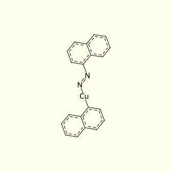 c1ccc2c(N=[N][Cu][c]3cccc4ccccc34)cccc2c1